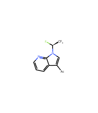 CC(=O)c1cn([C@@H](F)C(F)(F)F)c2ncccc12